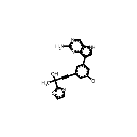 CC(O)(C#Cc1cc(Cl)cc(-c2c[nH]c3cnc(N)nc23)c1)c1nccs1